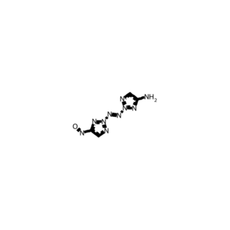 Nc1cnn(/N=N/n2ncc(N=O)n2)n1